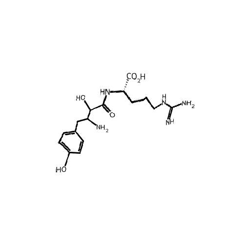 N=C(N)NCCC[C@H](NC(=O)C(O)C(N)Cc1ccc(O)cc1)C(=O)O